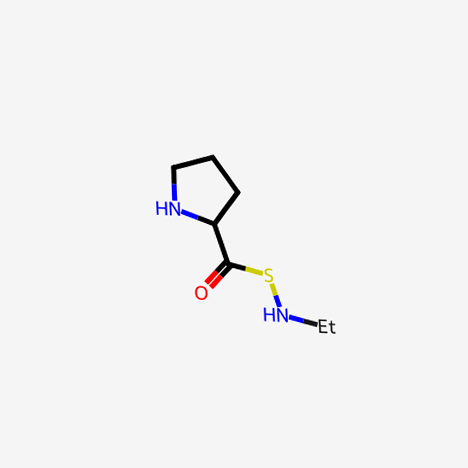 CCNSC(=O)C1CCCN1